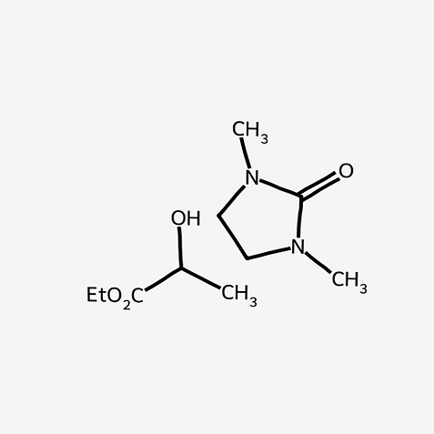 CCOC(=O)C(C)O.CN1CCN(C)C1=O